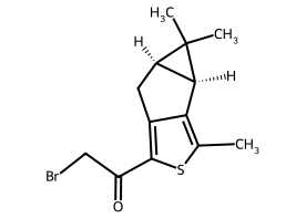 Cc1sc(C(=O)CBr)c2c1[C@H]1[C@@H](C2)C1(C)C